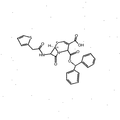 O=C(Cc1cccs1)NC1C(=O)N2C(C(=O)OC(c3ccccc3)c3ccccc3)C(C(=O)O)=CS[C@H]12